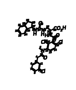 CN(C(=O)Cc1cccc(Cl)c1)c1ccc(Cl)c(C(=O)N[C@@H](CNC(=O)N[C@@H]2CCc3ccccc32)C(=O)O)c1Cl